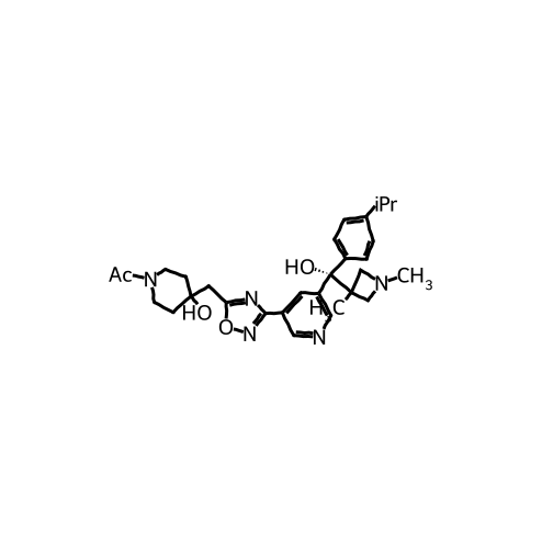 CC(=O)N1CCC(O)(Cc2nc(-c3cncc([C@@](O)(c4ccc(C(C)C)cc4)C4(C)CN(C)C4)c3)no2)CC1